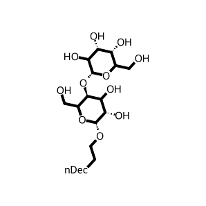 CCCCCCCCCCCCO[C@@H]1OC(CO)[C@@H](O[C@H]2OC(CO)[C@@H](O)[C@@H](O)C2O)C(O)[C@@H]1O